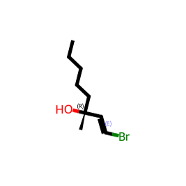 CCCCC[C@@](C)(O)/C=C/Br